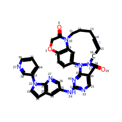 O=C1COc2ccc3cc2N1CCC/C=C\Cn1c(=O)c2cnc(Nc4cnc5c(ccn5-c5cccnc5)c4)nc2n1-3